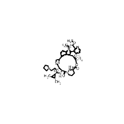 CCn1c(-c2cccnc2[C@H](C)OC)c2c3cc(ccc31)C1CSC(=N1)[C@@H](OCCN1CCCC1)[C@H](NC(=O)[C@H]1[C@H](C)[C@@H]1C)C(=O)N1CCC[C@H](N1)C(=O)OCC(C)(C)C2